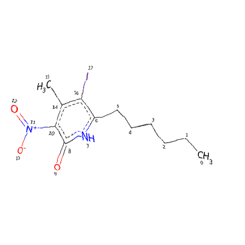 CCCCCCc1[nH]c(=O)c([N+](=O)[O-])c(C)c1I